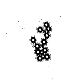 c1ccc(-c2cccc(N(c3ccc(-c4ccc5c6ccc7ccccc7c6n(-c6ccccc6)c5c4)cc3)c3cccc4c3-c3ccccc3C43c4ccccc4-c4ccccc43)c2)cc1